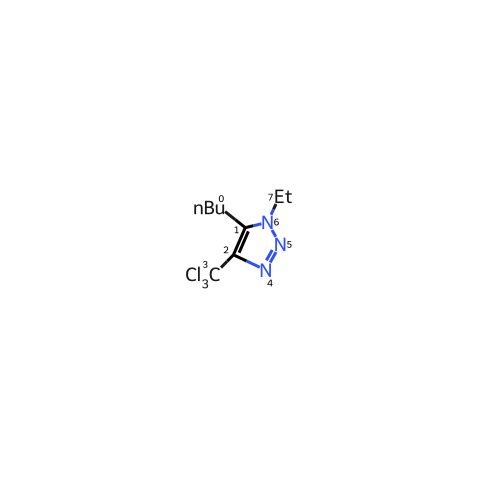 CCCCc1c(C(Cl)(Cl)Cl)nnn1CC